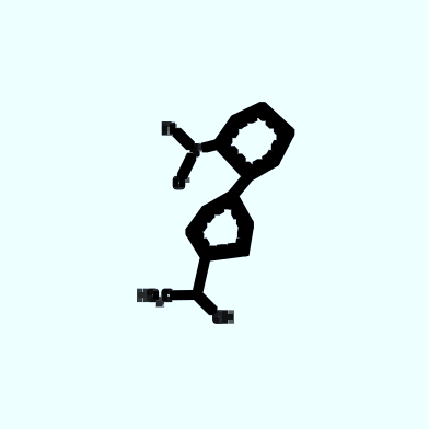 CC[S+]([O-])c1ccccc1-c1ccc(C(O)C(=O)O)cc1